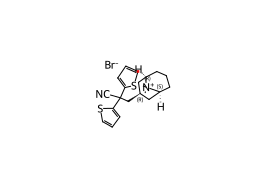 C[N+]1(C)[C@@H]2CCC[C@H]1C[C@@H](CC(C#N)(c1cccs1)c1cccs1)C2.[Br-]